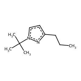 CCCc1ccn(C(C)(C)C)n1